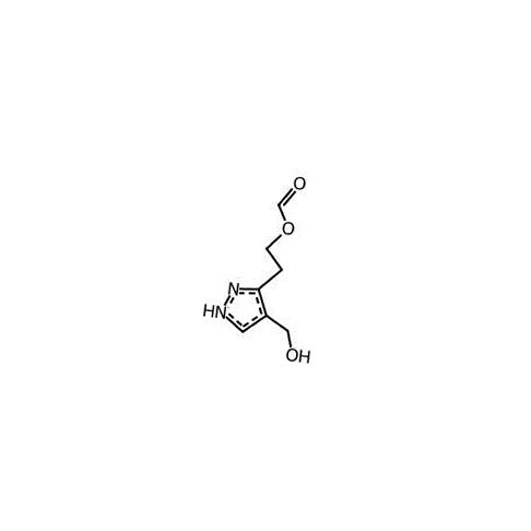 O=COCCc1n[nH]cc1CO